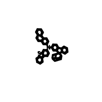 c1ccc2c(c1)-c1ccc(N(c3ccc4c(ccc5ccccc54)c3)c3ccc4c(c3)sc3ccccc34)cc1C21C2CC3CC(C2)CC1C3